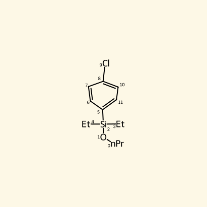 CCCO[Si](CC)(CC)c1ccc(Cl)cc1